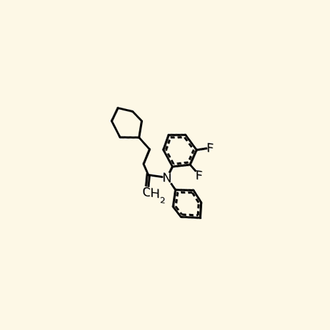 C=C(CCC1CCCCC1)N(c1ccccc1)c1cccc(F)c1F